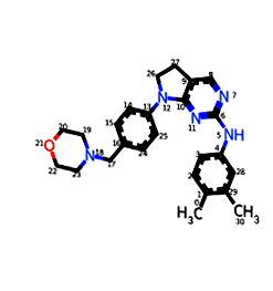 Cc1ccc(Nc2ncc3c(n2)N(c2ccc(CN4CCOCC4)cc2)CC3)cc1C